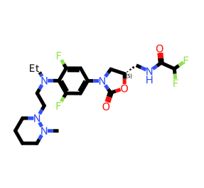 CCN(CCN1CCCCN1C)c1c(F)cc(N2C[C@H](CNC(=O)C(F)F)OC2=O)cc1F